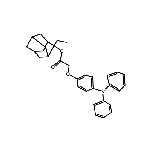 CCC1(OC(=O)COc2ccc([S+](c3ccccc3)c3ccccc3)cc2)C2CC3CC(C2)CC1C3